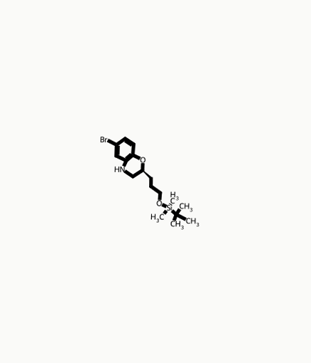 CC(C)(C)[Si](C)(C)OCCC[C@H]1CNc2cc(Br)ccc2O1